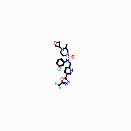 CC1CN([S+]([O-])N(Cc2ccc(-c3nnc(C(F)F)o3)cn2)c2cccc(Cl)c2)CCN1C1COC1